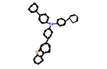 C1=CCC(c2ccc(N(c3ccc(-c4ccccc4)cc3)c3ccc(-c4ccc5c(c4)sc4ccccc45)cc3)cc2)C=C1